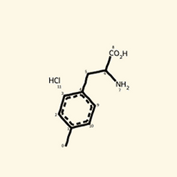 Cc1ccc(CC(N)C(=O)O)cc1.Cl